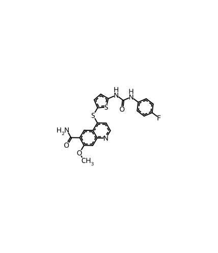 COc1cc2nccc(Sc3ccc(NC(=O)Nc4ccc(F)cc4)s3)c2cc1C(N)=O